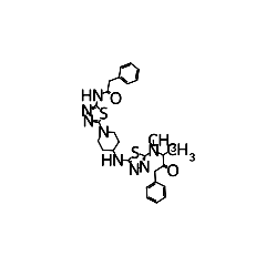 CC(C(=O)Cc1ccccc1)N(C)c1nnc(NC2CCN(c3nnc(NC(=O)Cc4ccccc4)s3)CC2)s1